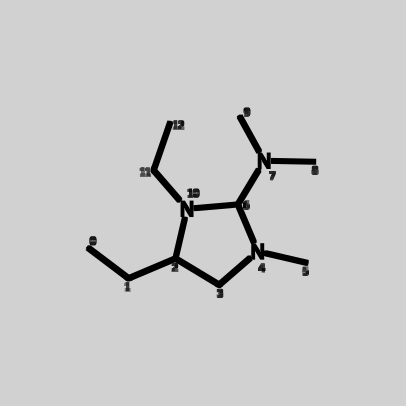 CCC1CN(C)C(N(C)C)N1CC